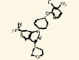 CCNc1cc2c(cn1)c(N1CCOCC1)nn2[C@H]1CC[C@@H](Oc2nccc(C(F)(F)F)c2F)CC1